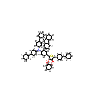 c1ccc(-c2ccc(-c3sc(-c4ccc(N(c5ccc(-c6ccccc6)cc5)c5ccc6c(c5)C5(c7ccccc7-c7ccccc75)c5ccccc5-6)cc4)c4c3Oc3ccccc3O4)cc2)cc1